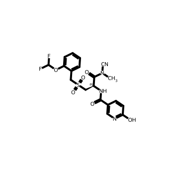 CN(C#N)C(=O)[C@H](CS(=O)(=O)Cc1ccccc1OC(F)F)NC(=O)c1ccc(O)nc1